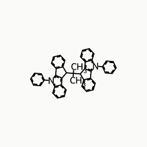 CC(C)(C1c2ccccc2-c2c1c1ccccc1n2-c1ccccc1)C1c2ccccc2-c2c1c1ccccc1n2-c1ccccc1